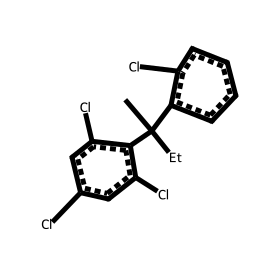 [CH2]CC(C)(c1ccccc1Cl)c1c(Cl)cc(Cl)cc1Cl